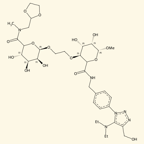 CCN(CC)c1c(CO)nnn1-c1ccc(CNC(=O)C2O[C@@H](OC)[C@@H](O)[C@@H](O)[C@@H]2OCCO[C@@H]2OC(C(=O)N(C)CC3OCCO3)[C@@H](O)[C@H](O)[C@@H]2O)cc1